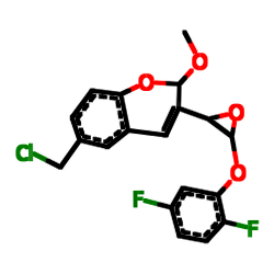 COC1Oc2ccc(CCl)cc2C=C1C1OC1Oc1cc(F)ccc1F